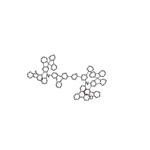 c1ccc(-c2cc(-c3ccc(-c4ccc5c6ccc(N(c7ccccc7)c7cc8c(cc7-c7cccc9c7sc7ccccc79)-c7ccccc7C87c8ccccc8-c8ccccc87)cc6c6ccccc6c5c4)cc3)cc(N(c3ccc4c5ccccc5c5ccccc5c4c3)c3cc4c(cc3-c3cccc5oc6ccccc6c35)-c3ccccc3C43c4ccccc4-c4ccccc43)c2)cc1